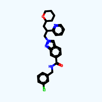 O=C(NCc1cccc(Cl)c1)c1ccc2cn(CC(CC3CCCCO3)c3ccccn3)nc2c1